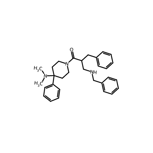 CN(C)C1(c2ccccc2)CCN(C(=O)C(CNCc2ccccc2)Cc2ccccc2)CC1